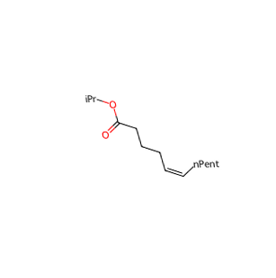 CCCCC/C=C\CCCC(=O)OC(C)C